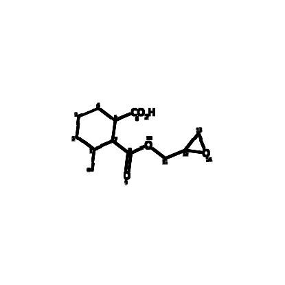 CC1CCCC(C(=O)O)C1C(=O)OCC1CO1